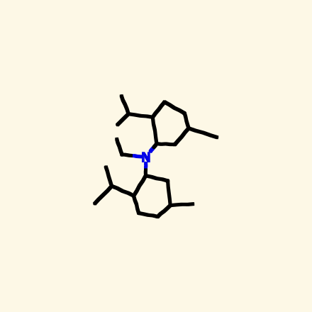 CCN(C1CC(C)CCC1C(C)C)C1CC(C)CCC1C(C)C